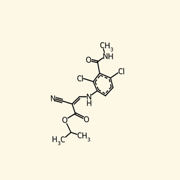 CNC(=O)c1c(Cl)ccc(NC=C(C#N)C(=O)OC(C)C)c1Cl